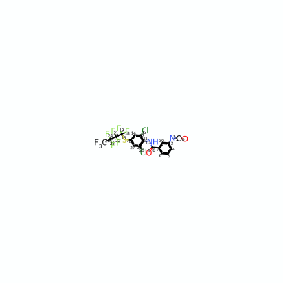 O=C=Nc1cccc(C(=O)Nc2c(Cl)cc(SC(F)(F)C(F)(F)C(F)(F)C(F)(F)F)cc2Cl)c1